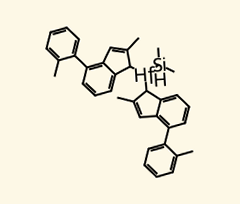 CC1=Cc2c(-c3ccccc3C)cccc2[CH]1[Hf]([CH]1C(C)=Cc2c(-c3ccccc3C)cccc21)[SiH](C)C